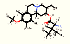 [2H]c1c2c(c([2H])c(OC)c1OC([2H])([2H])[2H])C1([2H])CC(OC(=O)[C@@]([2H])(N)C([2H])(C([2H])([2H])[2H])C([2H])([2H])[2H])C(CC(C)C)CN1CC2